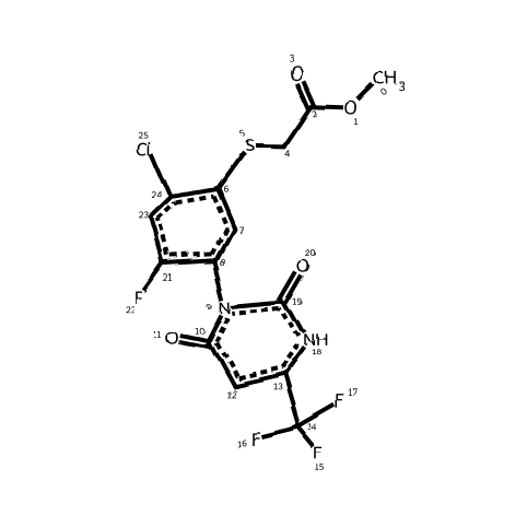 COC(=O)CSc1cc(-n2c(=O)cc(C(F)(F)F)[nH]c2=O)c(F)cc1Cl